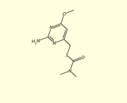 COc1cc(CSC(=O)N(C)C)nc(N)n1